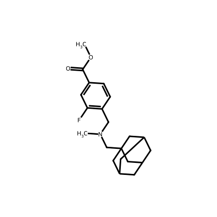 COC(=O)c1ccc(CN(C)CC23CC4CC(CC(C4)C2)C3)c(F)c1